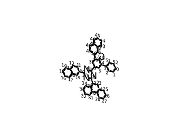 c1ccc(-c2cc(-c3nc(-c4ccc5ccccc5c4)nc(-c4cc5ccccc5c5ccccc45)n3)cc3c2oc2c4ccccc4ccc32)cc1